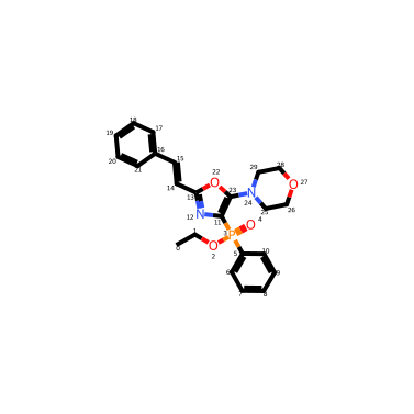 CCOP(=O)(c1ccccc1)c1nc(C=Cc2ccccc2)oc1N1CCOCC1